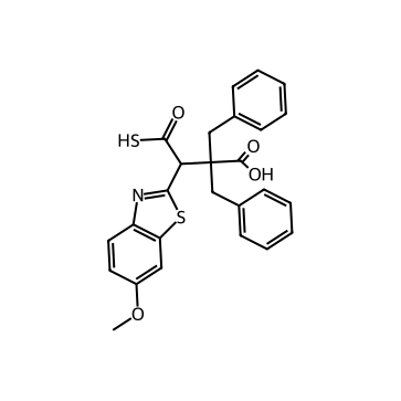 COc1ccc2nc(C(C(=O)S)C(Cc3ccccc3)(Cc3ccccc3)C(=O)O)sc2c1